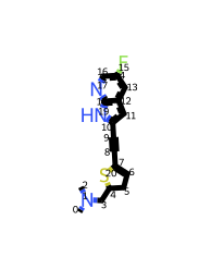 CN(C)CC1CC=C(C#Cc2cc3cc(F)cnc3[nH]2)S1